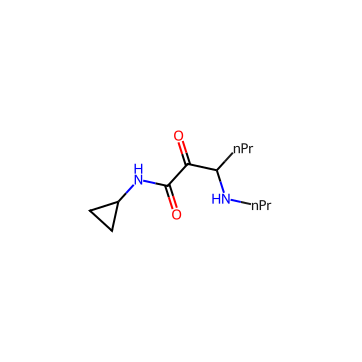 CCCNC(CCC)C(=O)C(=O)NC1CC1